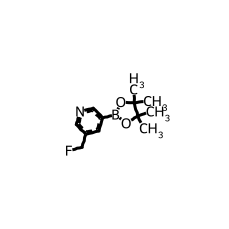 CC1(C)OB(c2cncc(CF)c2)OC1(C)C